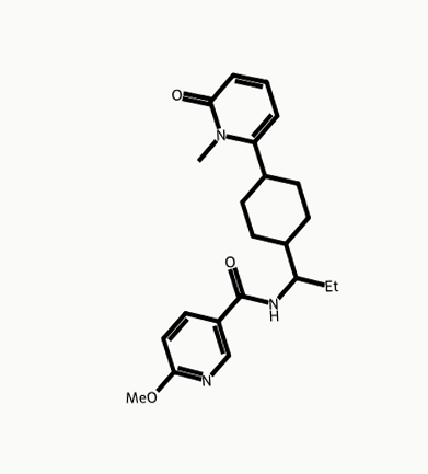 CCC(NC(=O)c1ccc(OC)nc1)C1CCC(c2cccc(=O)n2C)CC1